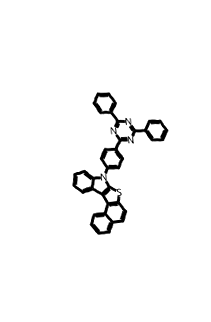 c1ccc(-c2nc(-c3ccccc3)nc(-c3ccc(-n4c5ccccc5c5c6c(ccc7ccccc76)sc54)cc3)n2)cc1